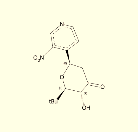 CC(C)(C)[C@H]1O[C@@H](c2ccncc2[N+](=O)[O-])CC(=O)[C@@H]1O